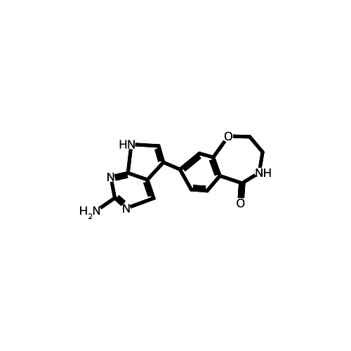 Nc1ncc2c(-c3ccc4c(c3)OCCNC4=O)c[nH]c2n1